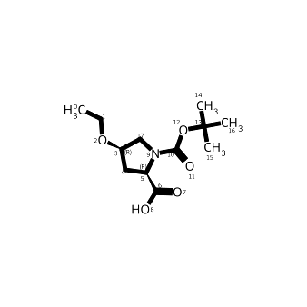 CCO[C@@H]1C[C@H](C(=O)O)N(C(=O)OC(C)(C)C)C1